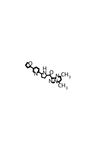 Cc1cc(C)n2cnc(C(=O)C3CCC(c4ccc(-c5ccco5)cn4)N3)c2n1